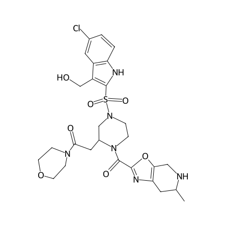 CC1Cc2nc(C(=O)N3CCN(S(=O)(=O)c4[nH]c5ccc(Cl)cc5c4CO)CC3CC(=O)N3CCOCC3)oc2CN1